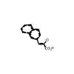 O=C(O)/C(Cl)=C/c1ccc2ccccc2c1